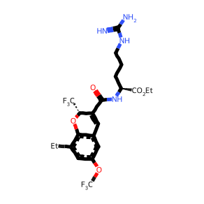 CCOC(=O)[C@H](CCCNC(=N)N)NC(=O)C1=Cc2cc(OC(F)(F)F)cc(CC)c2O[C@@H]1C(F)(F)F